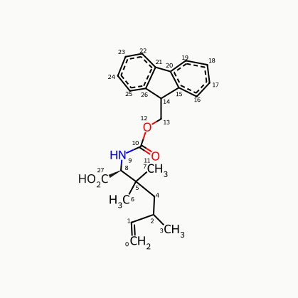 C=CC(C)CC(C)(C)[C@H](NC(=O)OCC1c2ccccc2-c2ccccc21)C(=O)O